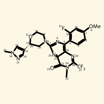 COc1ccc(-c2nc(N3CCO[C@@H](c4cnn(C)c4)C3)nc3c(=O)n(C)c(C(F)(F)F)nc23)c(F)c1